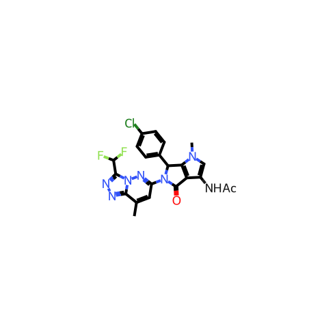 CC(=O)Nc1cn(C)c2c1C(=O)N(c1cc(C)c3nnc(C(F)F)n3n1)C2c1ccc(Cl)cc1